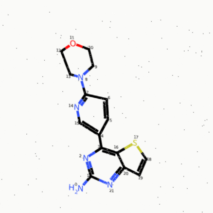 Nc1nc(-c2ccc(N3CCOCC3)nc2)c2sccc2n1